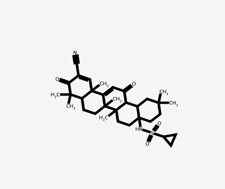 CC1(C)CCC2(NS(=O)(=O)C3CC3)CCC3(C)C(C(=O)C=C4C5(C)C=C(C#N)C(=O)C(C)(C)C5CCC43C)C2C1